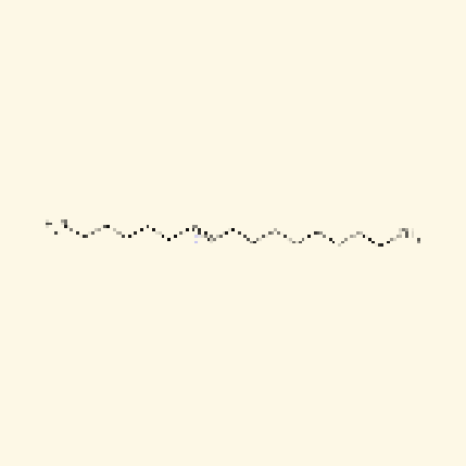 CCCCCCCCC/C=C/CCCCCN